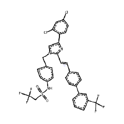 O=S(=O)(CC(F)(F)F)Nc1ccc(Cn2cc(-c3ccc(Cl)cc3Cl)nc2/C=C/c2ccc(-c3cccc(C(F)(F)F)c3)cc2)cc1